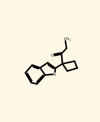 CCC(=O)C1(c2cc3ccccc3s2)CCC1